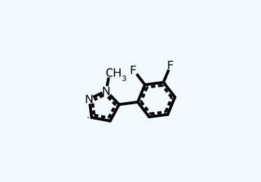 Cn1n[c]cc1-c1cccc(F)c1F